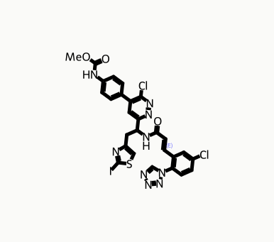 COC(=O)Nc1ccc(-c2cc(C(Cc3csc(I)n3)NC(=O)/C=C/c3cc(Cl)ccc3-n3cnnn3)nnc2Cl)cc1